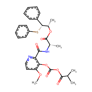 COc1ccnc(C(=O)N[C@@H](C)C(=O)O[C@@H](C)[C@H](Sc2ccccc2)c2ccccc2)c1OC(=O)OC(=O)C(C)C